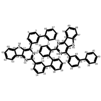 c1ccc(-c2cccc(-c3nc(-c4cccc(-c5ccccc5-c5ccccc5-c5nc(-c6cccc(-c7ccccc7)c6)c6sc7ccccc7c6n5)c4)nc4c3sc3ccccc34)c2)cc1